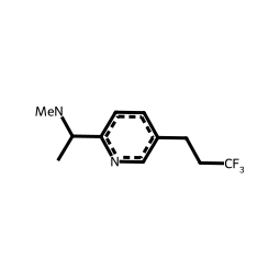 CNC(C)c1ccc(CCC(F)(F)F)cn1